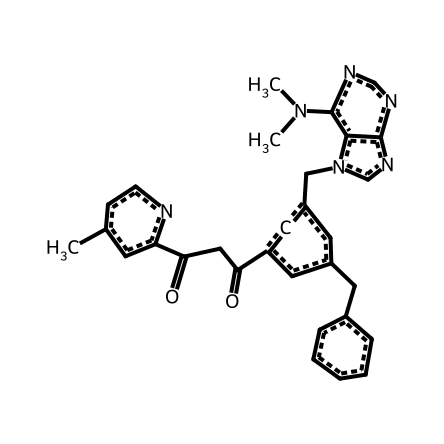 Cc1ccnc(C(=O)CC(=O)c2cc(Cc3ccccc3)cc(Cn3cnc4ncnc(N(C)C)c43)c2)c1